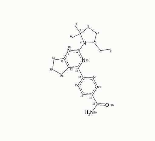 CCC1CCC(C)(C)N1c1nc2c(c(-c3ccc(C(N)=O)cc3)n1)CCC2